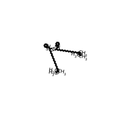 CO[Si](C)(C)CCCCCCCCCCCCCCCCC(CSSCC(CCCCCCCCCCCCCCCC[Si](C)(C)OC)c1nc2ccccc2s1)c1nc2ccccc2s1